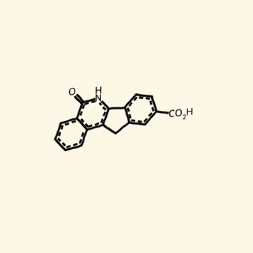 O=C(O)c1ccc2c(c1)Cc1c-2[nH]c(=O)c2ccccc12